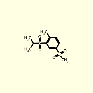 Cc1ccc(S(C)(=O)=O)cc1S(=O)(=O)C(C)C